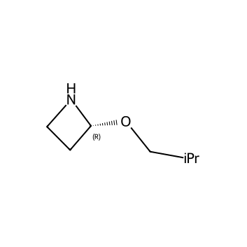 CC(C)CO[C@@H]1CCN1